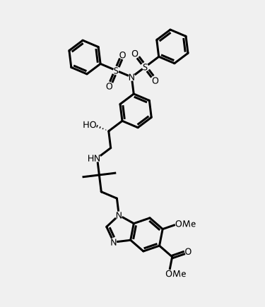 COC(=O)c1cc2ncn(CCC(C)(C)NC[C@H](O)c3cccc(N(S(=O)(=O)c4ccccc4)S(=O)(=O)c4ccccc4)c3)c2cc1OC